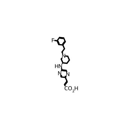 O=C(O)/C=C/c1cnc(N[C@@H]2CCCN(CCc3cccc(F)c3)C2)cn1